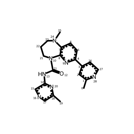 Cc1cc(-c2ccc3c(n2)N(C(=O)Nc2cncc(C)n2)CCCN3C)ccn1